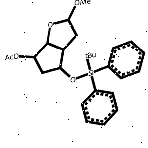 COC1CC2C(O[Si](c3ccccc3)(c3ccccc3)C(C)(C)C)CC(OC(C)=O)C2O1